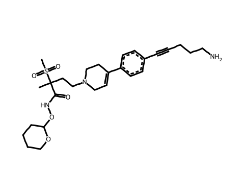 CC(CCN1CC=C(c2ccc(C#CCCCN)cc2)CC1)(C(=O)NOC1CCCCO1)S(C)(=O)=O